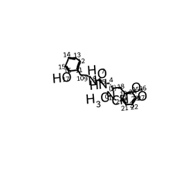 CN(C)[C@H](CNC(=O)NCCc1ccccc1O)Cc1cccc2c1OCO2